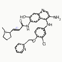 CN1CCCC1/C=C/C(=O)Nc1cc2c(Nc3ccc(OCc4ccccn4)c(Cl)c3)c(N)cnc2cc1O